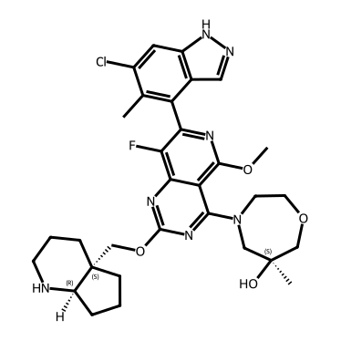 COc1nc(-c2c(C)c(Cl)cc3[nH]ncc23)c(F)c2nc(OC[C@@]34CCCN[C@@H]3CCC4)nc(N3CCOC[C@@](C)(O)C3)c12